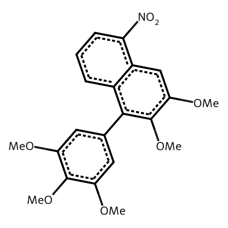 COc1cc(-c2c(OC)c(OC)cc3c([N+](=O)[O-])cccc23)cc(OC)c1OC